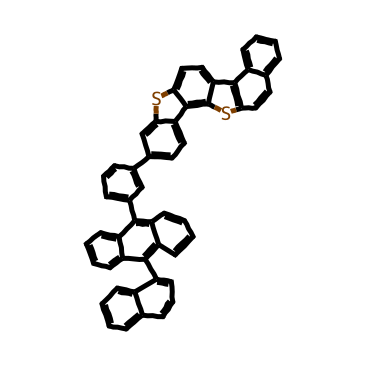 c1cc(-c2ccc3c(c2)sc2ccc4c(sc5ccc6ccccc6c54)c23)cc(-c2c3ccccc3c(-c3cccc4ccccc34)c3ccccc23)c1